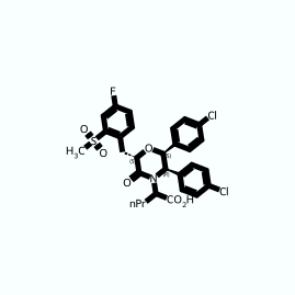 CCCC(C(=O)O)N1C(=O)[C@H](Cc2ccc(F)cc2S(C)(=O)=O)O[C@@H](c2ccc(Cl)cc2)[C@H]1c1ccc(Cl)cc1